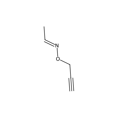 C#CCON=CC